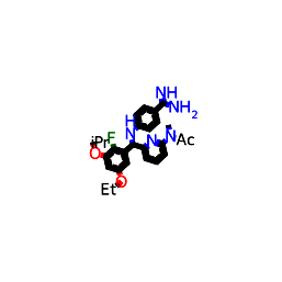 CCOc1cc(OC(C)C)c(F)c(C(Nc2ccc(C(=N)N)cc2)c2cccc(N(C)C(C)=O)n2)c1